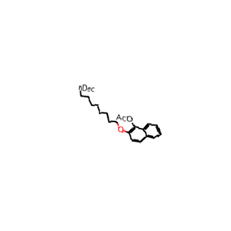 CCCCCCCCCCCCCCCCCCOc1ccc2ccccc2c1OC(C)=O